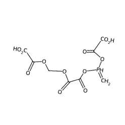 C=[PH](OC(=O)C(=O)O)OC(=O)C(=O)OCOC(=O)C(=O)O